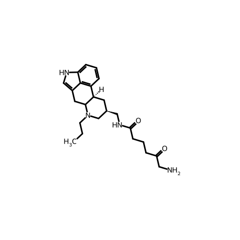 CCCN1C[C@H](CNC(=O)CCCC(=O)CN)C[C@@H]2c3cccc4[nH]cc(c34)CC21